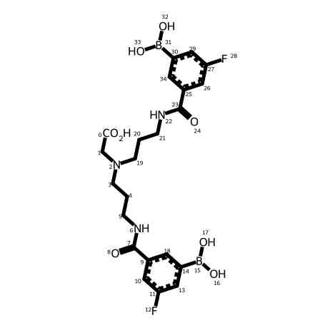 O=C(O)CN(CCCNC(=O)c1cc(F)cc(B(O)O)c1)CCCNC(=O)c1cc(F)cc(B(O)O)c1